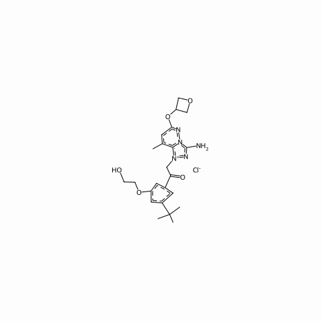 Cc1cc(OC2COC2)nn2c(N)n[n+](CC(=O)c3cc(OCCO)cc(C(C)(C)C)c3)c12.[Cl-]